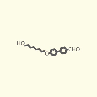 O=Cc1ccc(-c2ccc(OCCCCCCCCO)cc2)cc1